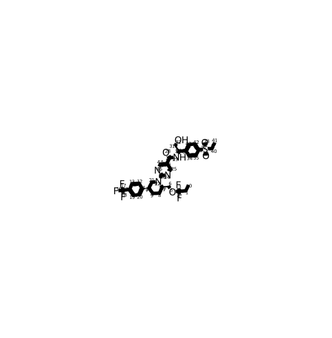 CCC(F)(F)OC[C@H]1CC[C@H](c2ccc(C(F)(F)F)cc2)CN1c1ncc(C(=O)N[C@@H](CO)c2ccc(S(=O)(=O)CC)cc2)cn1